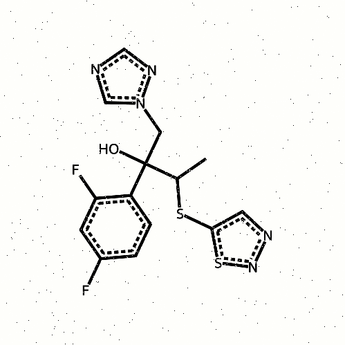 CC(Sc1cnns1)C(O)(Cn1cncn1)c1ccc(F)cc1F